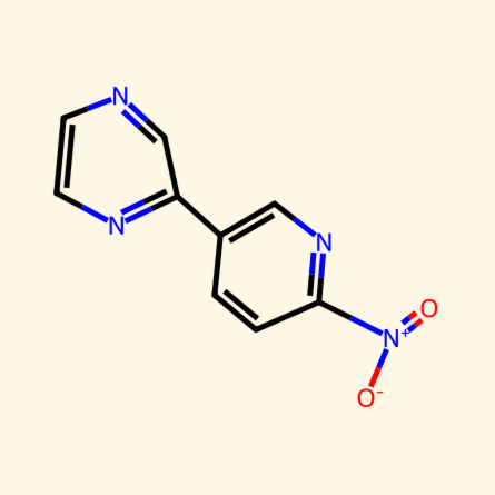 O=[N+]([O-])c1ccc(-c2cnccn2)cn1